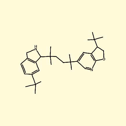 CC(C)(C)c1ccc2c(c1)C(C(C)(C)CCC(C)(C)c1cnc3c(c1)C(C(C)(C)C)CO3)NC2